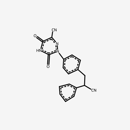 N#Cc1nn(-c2ccc(CC(C#N)c3ccccc3)cc2)c(=O)[nH]c1=O